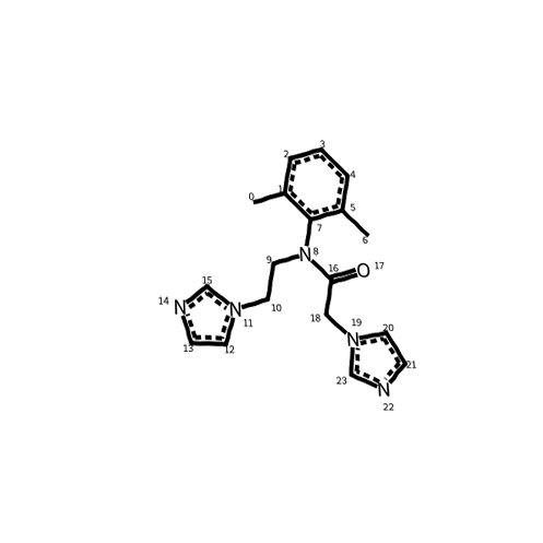 Cc1cccc(C)c1N(CCn1ccnc1)C(=O)Cn1ccnc1